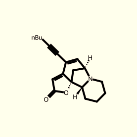 CCCCC#CC1=C[C@@H]2C[C@@]3(OC(=O)C=C13)[C@H]1CCCCN21